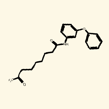 O=C(CCCCCCC(=O)C(F)(F)F)Nc1cccc(Oc2ccccc2)c1